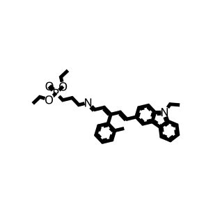 CCOP(=O)(CCC/N=C/C=C(/C=Cc1ccc2c(c1)c1ccccc1n2CC)c1ccccc1C)OCC